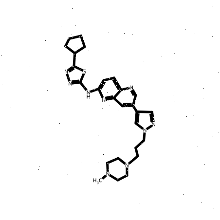 CN1CCN(CCCn2cc(-c3cnc4ccc(Nc5nnc(C6CCCC6)s5)nc4c3)cn2)CC1